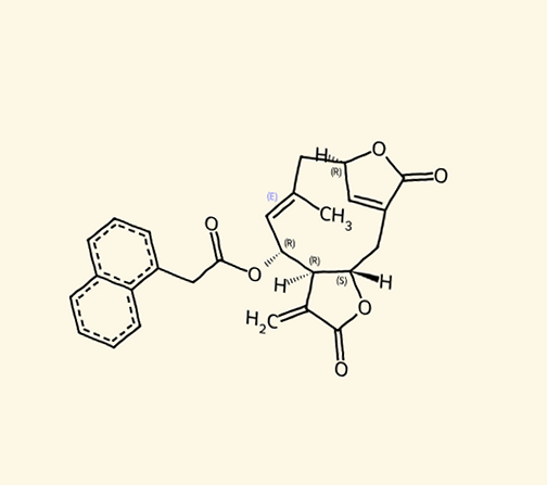 C=C1C(=O)O[C@H]2CC3=C[C@@H](C/C(C)=C/[C@@H](OC(=O)Cc4cccc5ccccc45)[C@H]12)OC3=O